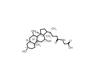 C[C@H](CCC(=O)NCC(=O)O)C1CC[C@H]2[C@@H]3[C@H](O)C[C@@H]4C[C@H](O)CC[C@]4(C)[C@H]3C[C@H](O)[C@]12C